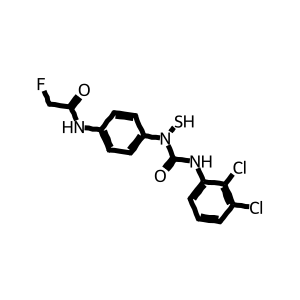 O=C(CF)Nc1ccc(N(S)C(=O)Nc2cccc(Cl)c2Cl)cc1